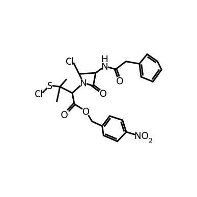 CC(C)(SCl)C(C(=O)OCc1ccc([N+](=O)[O-])cc1)N1C(=O)C(NC(=O)Cc2ccccc2)C1Cl